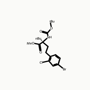 CCCC[C@@](CCc1ccc(Br)cc1Cl)(NC(=O)OC(C)(C)C)C(=O)OC